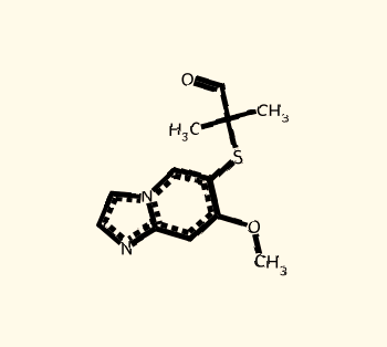 COc1cc2nccn2cc1SC(C)(C)C=O